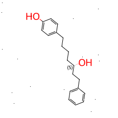 Oc1ccc(CCCC[C@H](O)CCc2ccccc2)cc1